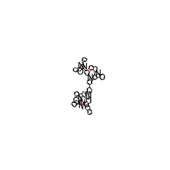 c1ccc(-c2nc(-c3ccc(-n4c5ccc(-c6ccc7c(c6)c6cc8c9ccccc9n(-c9nc(-c%10ccc%11ccccc%11c%10)nc%10c9oc9ccccc9%10)c8c8c9c%10ccccc%10ccc9n7c68)cc5c5cc6c7ccccc7n7c8ccc9ccccc9c8c(c54)c67)cc3)c3oc4ccccc4c3n2)cc1